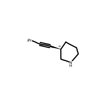 CC(C)C#C[C@H]1CCCNC1